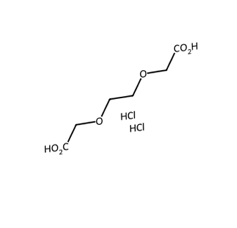 Cl.Cl.O=C(O)COCCOCC(=O)O